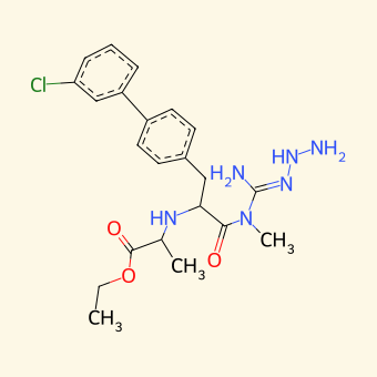 CCOC(=O)C(C)NC(Cc1ccc(-c2cccc(Cl)c2)cc1)C(=O)N(C)/C(N)=N/NN